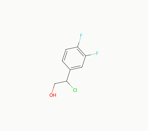 OCC(Cl)c1ccc(F)c(F)c1